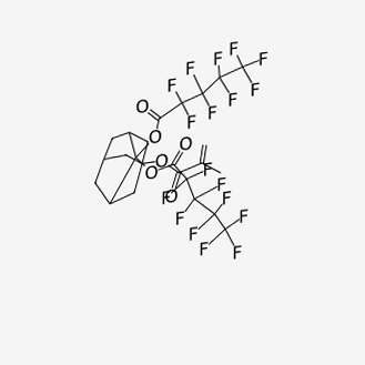 C=C(C)C(=O)OC12CC3CC(C1)C(OC(=O)C(F)(F)C(F)(F)C(F)(F)C(F)(F)F)(OC(=O)C(F)(F)C(F)(F)C(F)(F)C(F)(F)F)C(C3)C2